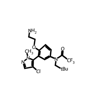 Cn1ncc(Cl)c1-c1cc(N(CC(C)(C)C)C(=O)C(F)(F)F)ccc1OCCN